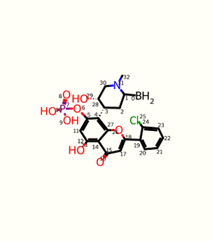 BC1C[C@H](c2c(OP(=O)(O)O)cc(O)c3c(=O)cc(-c4ccccc4Cl)oc23)[C@H](O)CN1C